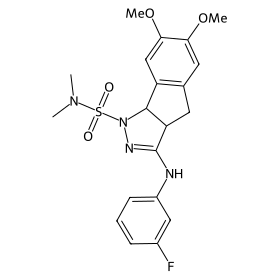 COc1cc2c(cc1OC)C1C(C2)C(Nc2cccc(F)c2)=NN1S(=O)(=O)N(C)C